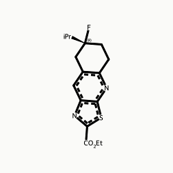 CCOC(=O)c1nc2cc3c(nc2s1)CC[C@](F)(C(C)C)C3